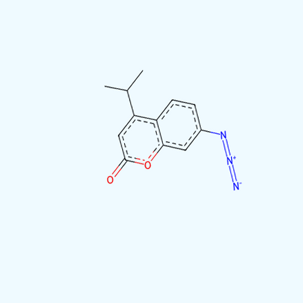 CC(C)c1cc(=O)oc2cc(N=[N+]=[N-])ccc12